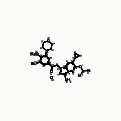 CCC(CC)Oc1nn2c(N)n[n+](CC(=O)c3cc(N4CCOCC4)c(OC)c(C(C)(C)C)c3)c2cc1C1CC1.[Cl-]